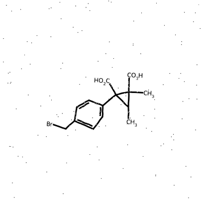 CC1C(C)(C(=O)O)C1(C(=O)O)c1ccc(CBr)cc1